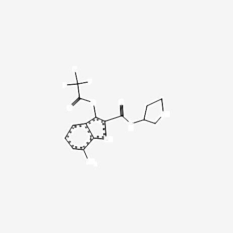 Cc1cccc2c(OC(=O)C(F)(F)F)c(C(=O)NC3CCNC3)[nH]c12